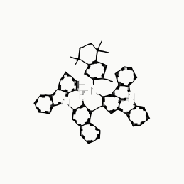 Cc1cc2c(cc1Nc1c(-c3c4c(cc5ccccc35)-n3c5ccccc5c5cccc(c53)B4)cc3c4ccccc4n4c5ccccc5c1c34)C(C)(C)CCC2(C)C